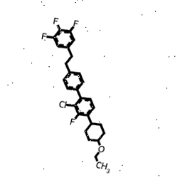 CCOC1CCC(c2ccc(-c3ccc(CCc4cc(F)c(F)c(F)c4)cc3)c(Cl)c2F)CC1